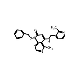 Cc1ncccc1CNc1cc(=O)n(OCc2ccccc2)c2ncnc(C)c12